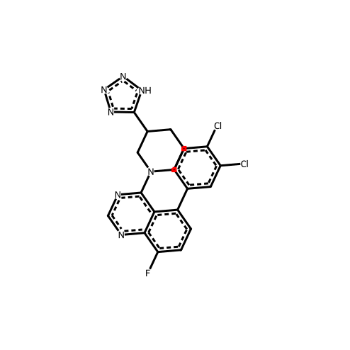 Fc1ccc(-c2ccc(Cl)c(Cl)c2)c2c(N3CCCC(c4nnn[nH]4)C3)ncnc12